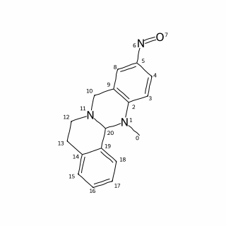 CN1c2ccc(N=O)cc2CN2CCc3ccccc3C21